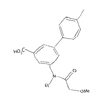 CCN(C(=O)COC)c1cc(C(=O)O)cc(-c2ccc(C)cc2)c1